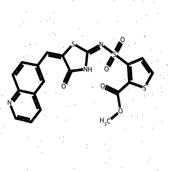 COC(=O)c1sccc1S(=O)(=O)N=C1NC(=O)C(=Cc2ccc3ncccc3c2)S1